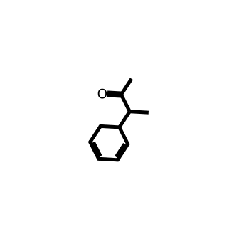 CC(=O)C(C)C1C=CC=CC1